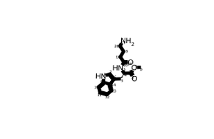 COC(=O)[C@H](Cc1c[nH]c2ccccc12)NC(=O)CCCN